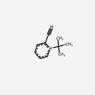 CC(C)(C)[n+]1ccccc1C#N